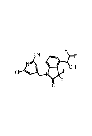 N#Cc1cc(CN2C(=O)C(F)(F)c3c(C(O)C(F)F)cccc32)cc(Cl)n1